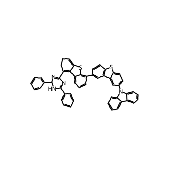 C1=c2sc3c(-c4ccc5sc6ccc(-n7c8ccccc8c8ccccc87)cc6c5c4)cccc3c2=C(C2=NC(c3ccccc3)NC(c3ccccc3)=N2)CC1